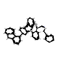 N=C(/C=N\Cc1ccccc1)c1ccccc1-n1c2ccccc2c2ccc(-c3cccc4c3-c3ccccc3C4)cc21